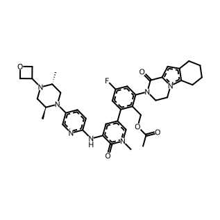 CC(=O)OCc1c(-c2cc(Nc3ccc(N4C[C@@H](C)N(C5COC5)C[C@@H]4C)cn3)c(=O)n(C)c2)cc(F)cc1N1CCn2c(cc3c2CCCC3)C1=O